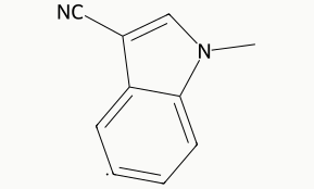 Cn1cc(C#N)c2c[c]ccc21